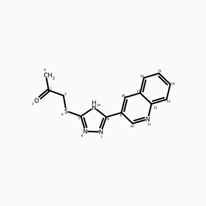 CC(=O)CSc1nnc(-c2cnc3ccccc3c2)[nH]1